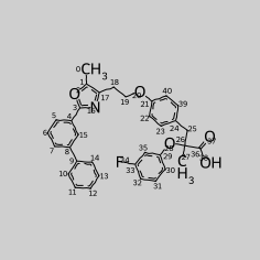 Cc1oc(-c2cccc(-c3ccccc3)c2)nc1CCOc1ccc(CC(C)(Oc2cccc(F)c2)C(=O)O)cc1